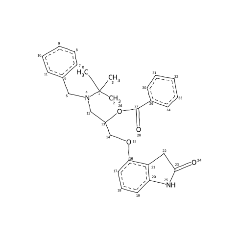 CC(C)(C)N(Cc1ccccc1)CC(COc1cccc2c1CC(=O)N2)OC(=O)c1ccccc1